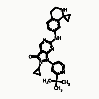 CC(C)(C)c1cc(-n2c3nc(Nc4ccc5c(c4)C4(CC4)NCC5)ncc3c(=O)n2C2CC2)ccn1